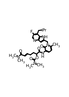 Cc1ccc(NC(=O)C(CCC=CC(=O)N(C)C)OC(=O)N(C)C)c(=O)n1Cc1cc2ncc(F)c(CC(C)C)c2[nH]1